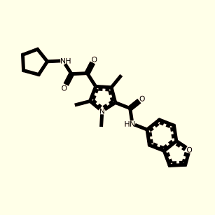 Cc1c(C(=O)C(=O)NC2CCCC2)c(C)n(C)c1C(=O)Nc1ccc2occc2c1